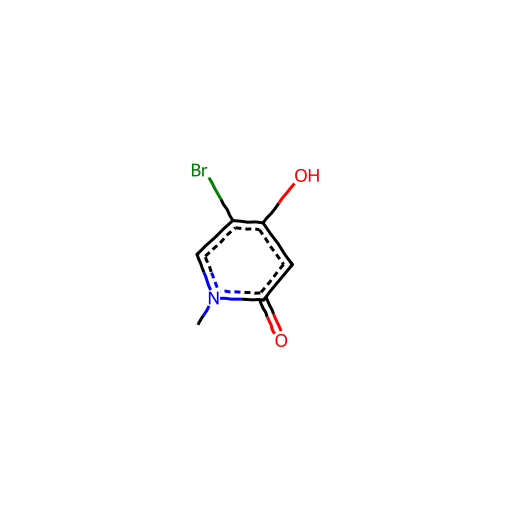 Cn1cc(Br)c(O)cc1=O